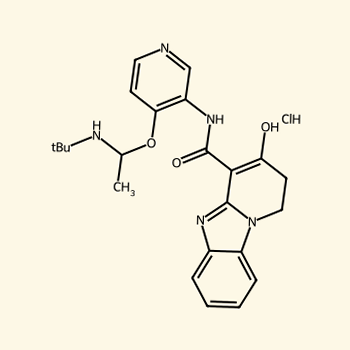 CC(NC(C)(C)C)Oc1ccncc1NC(=O)C1=C(O)CCn2c1nc1ccccc12.Cl